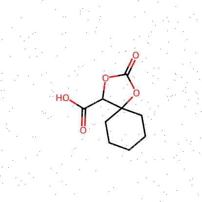 O=C1OC(C(=O)O)C2(CCCCC2)O1